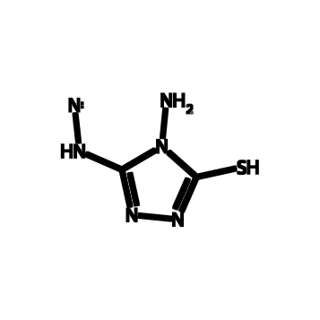 [N]Nc1nnc(S)n1N